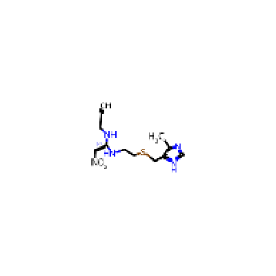 C#CCN/C(=C/[N+](=O)[O-])NCCSCc1[nH]cnc1C